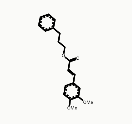 COc1ccc(/C=C/C(=O)OCCCc2ccccc2)cc1OC